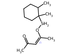 CC(=O)/C=C(/C)O[SiH2]C1(C)CCCCC1C